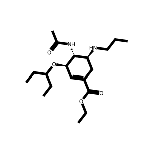 CCCN[C@H]1CC(C(=O)OCC)=C[C@@H](OC(CC)CC)[C@@H]1NC(C)=O